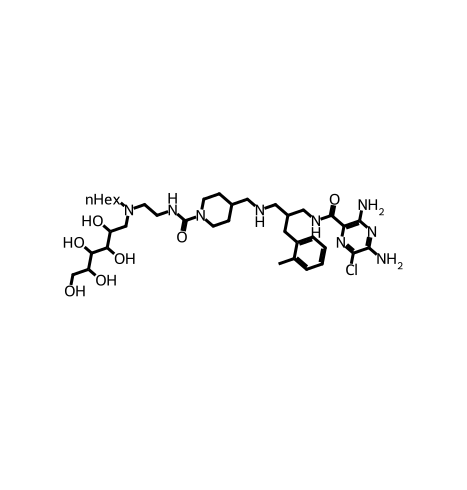 CCCCCCN(CCNC(=O)N1CCC(CNCC(CNC(=O)c2nc(Cl)c(N)nc2N)Cc2ccccc2C)CC1)CC(O)C(O)C(O)C(O)CO